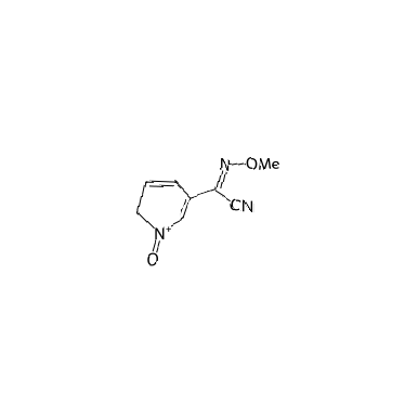 CON=C(C#N)C1=C[N+](=O)CC=C1